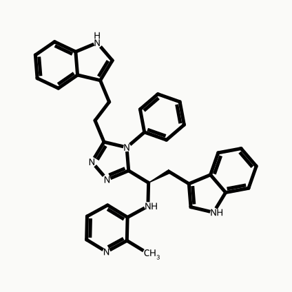 Cc1ncccc1N[C@H](Cc1c[nH]c2ccccc12)c1nnc(CCc2c[nH]c3ccccc23)n1-c1ccccc1